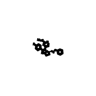 CSc1nccc(-c2c(-c3ccc(F)cc3)nc3n2[C@H](CSCc2ccccc2)CC3)n1